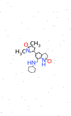 Cc1cc(-c2cc3c(c(CNC4CCCCC4)c2)NC(=O)CC3)cn(C)c1=O